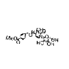 COC(=O)c1ccc(CON=c2ccn([C@@H]3O[C@H](CO)[C@@H](O)[C@H]3O)c(=O)n2C)cc1